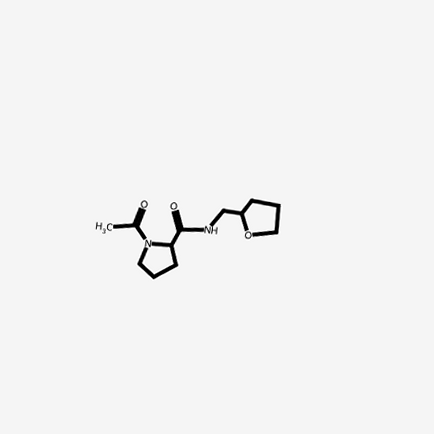 CC(=O)N1CCCC1C(=O)NCC1CCCO1